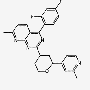 Cc1cc(C2CC(c3nc(-c4ccc(F)cc4F)c4ccc(C)nc4n3)CCO2)ccn1